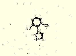 CCc1cccc(C#N)c1-n1ccnn1